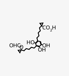 O=COC1(CCCCCc2c(O)c(O)cc(CCCCCC3(C(=O)O)CC3)c2O)CC1